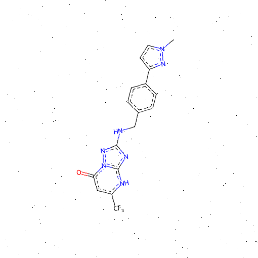 Cn1ccc(-c2ccc(CNc3nc4[nH]c(C(F)(F)F)cc(=O)n4n3)cc2)n1